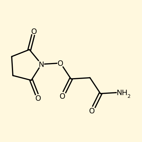 NC(=O)CC(=O)ON1C(=O)CCC1=O